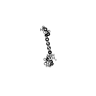 C=CCN1C(=O)C2=CN=C(Nc3ccc(N4CCN(C5CCN(C6CCC(n7ccc8c7ccc7on(C9CCC(=O)NC9=O)c78)CC6)CC5)CC4)cc3)N(C)C2N1c1ccc2c(n1)C(O)CC2